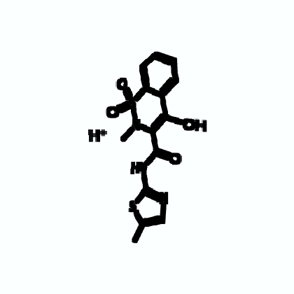 Cc1cnc(NC(=O)C2=C(O)c3ccccc3S(=O)(=O)N2C)s1.[H+]